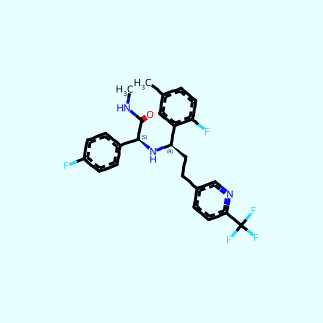 CNC(=O)[C@@H](N[C@H](CCc1ccc(C(F)(F)F)nc1)c1cc(C)ccc1F)c1ccc(F)cc1